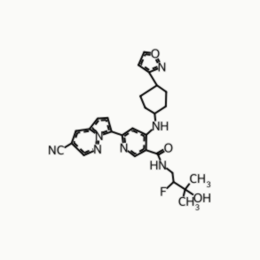 CC(C)(O)C(F)CNC(=O)c1cnc(-c2ccc3cc(C#N)cnn23)cc1NC1CCC(c2ccon2)CC1